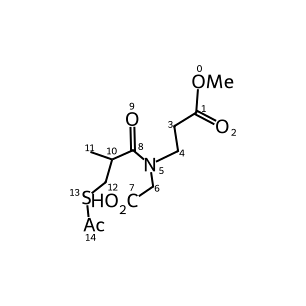 COC(=O)CCN(CC(=O)O)C(=O)C(C)CSC(C)=O